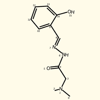 CN(C)CC(=O)N/N=C/c1ccccc1O